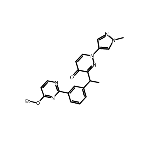 CCOc1ccnc(-c2cccc(C(C)c3nn(-c4cnn(C)c4)ccc3=O)c2)n1